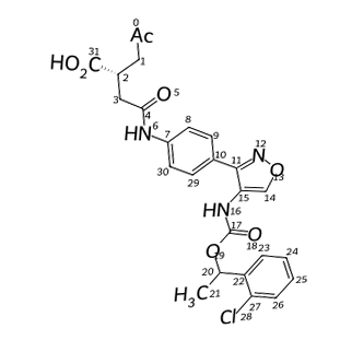 CC(=O)C[C@H](CC(=O)Nc1ccc(-c2nocc2NC(=O)OC(C)c2ccccc2Cl)cc1)C(=O)O